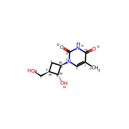 Cc1cn([C@@H]2C[C@H](CO)[C@H]2O)c(=O)[nH]c1=O